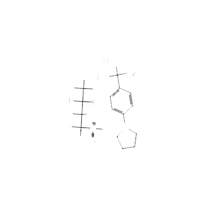 CC(C)(C)c1ccc([S+]2CCCC2)cc1.O=S(=O)([O-])C(F)(F)C(F)(F)C(F)(F)C(F)(F)F